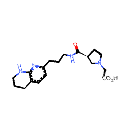 O=C(O)CN1CC[C@H](C(=O)NCCCc2ccc3c(n2)NCCC3)C1